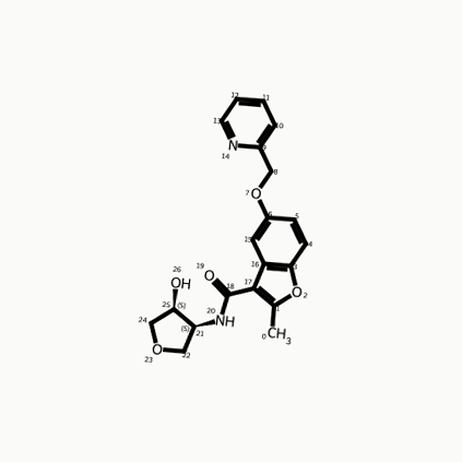 Cc1oc2ccc(OCc3ccccn3)cc2c1C(=O)N[C@H]1COC[C@H]1O